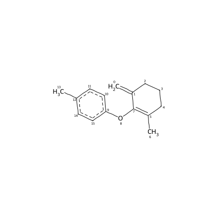 C=C1CCCC(C)=C1Oc1ccc(C)cc1